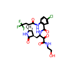 C[C@@H]1C[C@@H](CC(NC(=O)c2cc(Cl)ccc2NC(=O)CCC(F)(F)F)C(=O)C(=O)NCCO)C(=O)N1